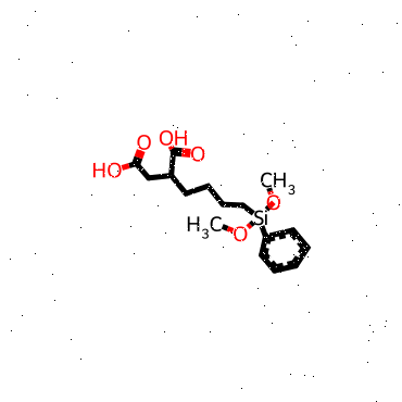 CO[Si](CCCCC(CC(=O)O)C(=O)O)(OC)c1ccccc1